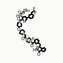 CC(C)(C)OC(=O)Nc1cc(-c2cccc(CC(F)F)c2)cnc1C(=O)N1CCC(OC2CCN(CC(=O)N3CCN(C(=O)c4cc(Cc5n[nH]c(=O)c6ccccc56)ccc4F)CC3)CC2)CC1